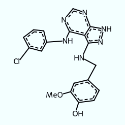 COc1cc(CNc2n[nH]c3ncnc(Nc4cccc(Cl)c4)c23)ccc1O